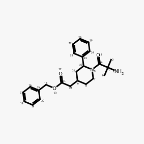 CC(C)(N)C(=O)N1CCC(CC(=O)OCc2ccccc2)CC1c1ccccc1